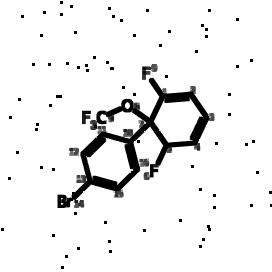 FC1=CC=CC(F)C1(OC(F)(F)F)c1ccc(Br)cc1